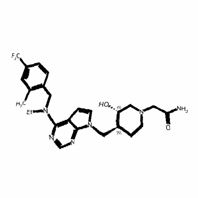 CCN(Cc1ccc(C(F)(F)F)cc1C)c1ncnc2c1ccn2C[C@@H]1CCN(CC(N)=O)C[C@H]1O